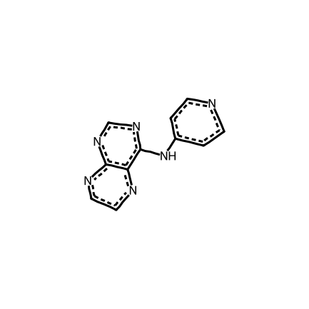 c1cc(Nc2ncnc3nccnc23)ccn1